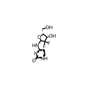 O=c1nc(NC2O[C@H](CO)[C@@H](O)C2(F)F)cc[nH]1